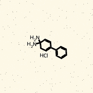 Cl.NC1(N)C=CC(c2ccccc2)=CC1